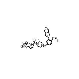 C[C@H]1CN(Cc2ccc(C(F)(F)F)c(N3CC4COCC4C3)c2)CCN1C(=O)n1ccc(NS(C)(=O)=O)n1